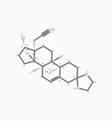 C#CC[C@]12CC[C@H]3[C@@H](CC=C4CC5(CC[C@@]43C)OCCO5)[C@@H]1CC[C@@H]2CC